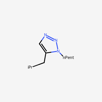 CCCCCn1nncc1CC(C)C